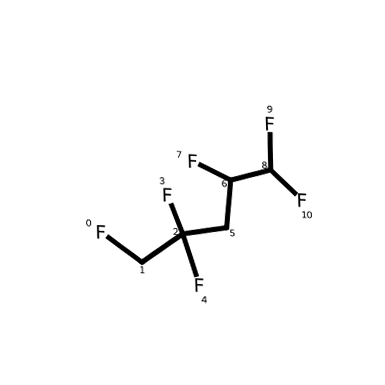 FCC(F)(F)CC(F)C(F)F